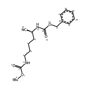 CC(C)(C)OC(=O)NCCCC[C@@H](C#N)NC(=O)OCc1ccccc1